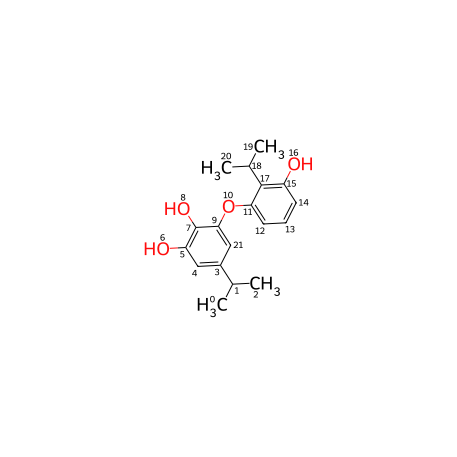 CC(C)c1cc(O)c(O)c(Oc2cccc(O)c2C(C)C)c1